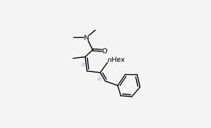 CCCCCCC(/C=C(/C)C(=O)N(C)C)=C\c1ccccc1